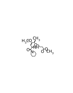 C/C=C(OCCCC(=O)OC)\C(=C/C(=N)C(=O)N1CCCCC1)OC